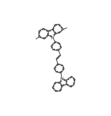 Cc1ccc2c3ccc(C)cc3n(-c3ccc(/C=C/c4ccc(-n5c6ccccc6c6ccccc65)cc4)cc3)c2c1